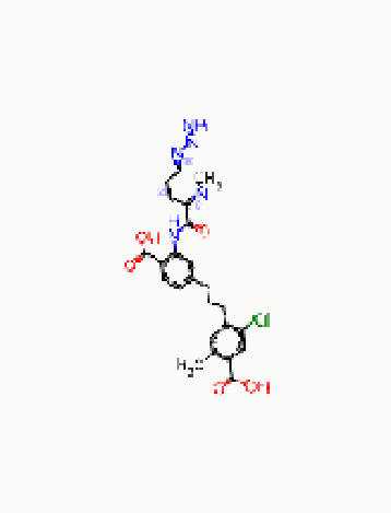 C\N=C(/C=C\C=N\N=N)C(=O)Nc1cc(CCCc2cc(C)c(C(=O)O)cc2Cl)ccc1C(=O)O